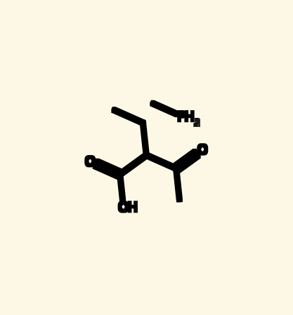 CCC(C(C)=O)C(=O)O.CP